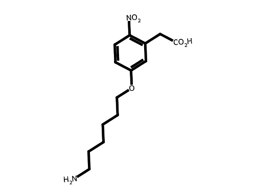 NCCCCCCOc1ccc([N+](=O)[O-])c(CC(=O)O)c1